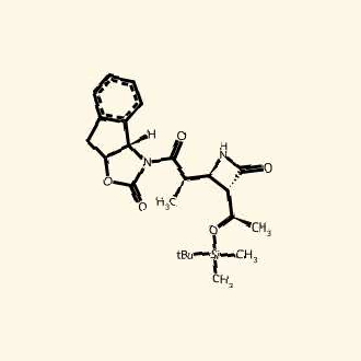 C[C@@H](O[Si](C)(C)C(C)(C)C)[C@H]1C(=O)N[C@@H]1[C@@H](C)C(=O)N1C(=O)OC2Cc3ccccc3[C@@H]21